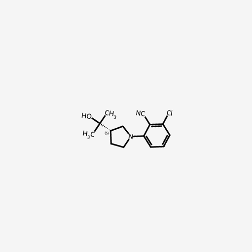 CC(C)(O)[C@H]1CCN(c2cccc(Cl)c2C#N)C1